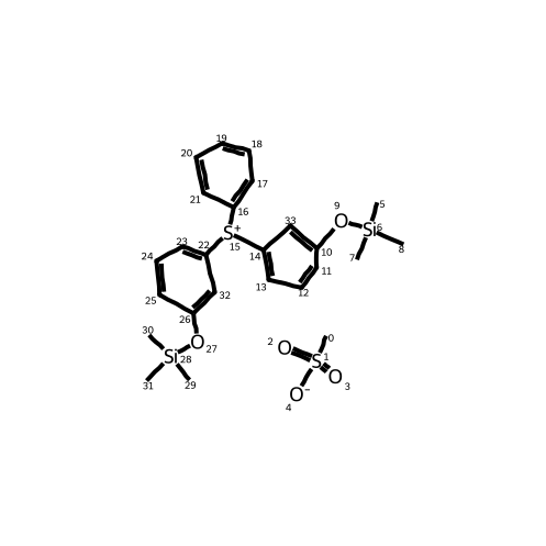 CS(=O)(=O)[O-].C[Si](C)(C)Oc1cccc([S+](c2ccccc2)c2cccc(O[Si](C)(C)C)c2)c1